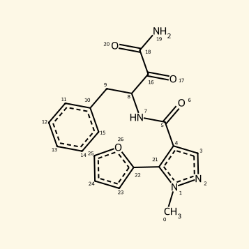 Cn1ncc(C(=O)NC(Cc2ccccc2)C(=O)C(N)=O)c1-c1ccco1